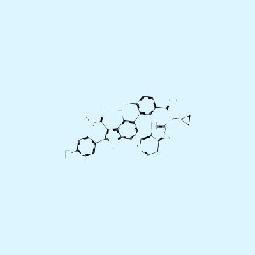 CNC(=O)c1c(-c2ccc(F)cc2)oc2ccc(-c3cc(C(=O)N(C4=NC5=CN=CCC5=N4)C4CC4)ccc3C)c(F)c12